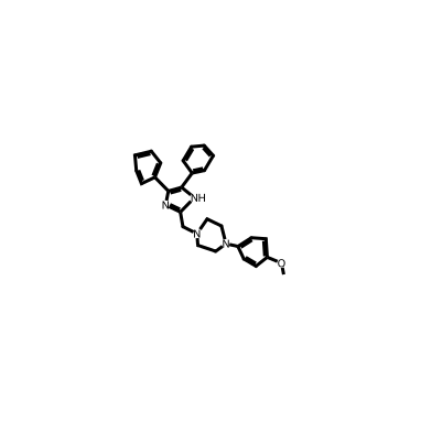 COc1ccc(N2CCN(Cc3nc(-c4ccccc4)c(-c4ccccc4)[nH]3)CC2)cc1